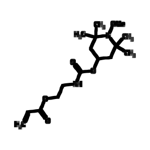 C=CC(=O)OCCNC(=O)OC1CC(C)(C)N(OC)C(C)(C)C1